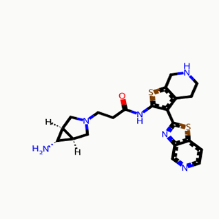 N[C@@H]1[C@H]2CN(CCC(=O)Nc3sc4c(c3-c3nc5cnccc5s3)CCNC4)C[C@@H]12